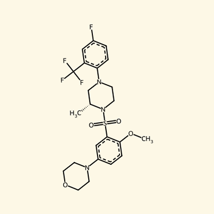 COc1ccc(N2CCOCC2)cc1S(=O)(=O)N1CCN(c2ccc(F)cc2C(F)(F)F)C[C@H]1C